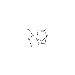 C1=CC2CCC1C2.CCCC